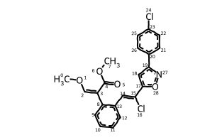 COC=C(C(=O)OC)c1ccccc1C=C(Cl)c1cc(-c2ccc(Cl)cc2)no1